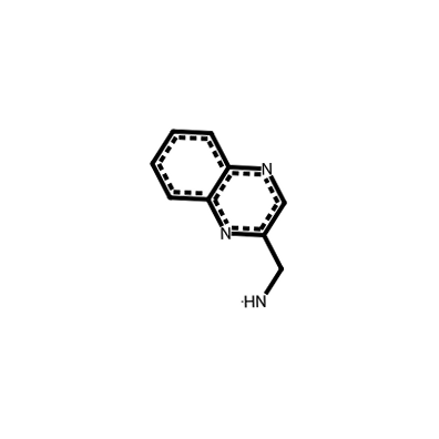 [NH]Cc1cnc2ccccc2n1